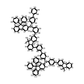 CC1(C)c2ccccc2-c2ccc(-c3ccc(N(c4ccc(-c5cccc(-c6cccc7c6-c6ccc(-c8cccc(N(c9ccc(-c%10ccccc%10)cc9)c9ccc%10c(c9)C(c9ccccc9)(c9ccccc9)c9ccccc9-%10)c8)cc6C7(C)C)c5)cc4)c4ccc5c(c4)C(c4ccccc4)(c4ccccc4)c4ccccc4-5)cc3)cc21